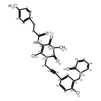 Cc1ccc(CCC(=O)Nc2c(Cl)n(CC#Cc3ccc(Cl)c(Cn4ccccc4=O)c3)c(=O)n(C)c2=O)cc1